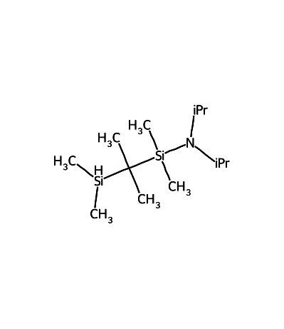 CC(C)N(C(C)C)[Si](C)(C)C(C)(C)[SiH](C)C